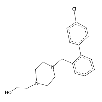 OCCN1CCN(Cc2ccccc2-c2ccc(Cl)cc2)CC1